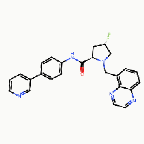 O=C(Nc1ccc(-c2cccnc2)cc1)[C@H]1C[C@H](F)CN1Cc1cccc2nccnc12